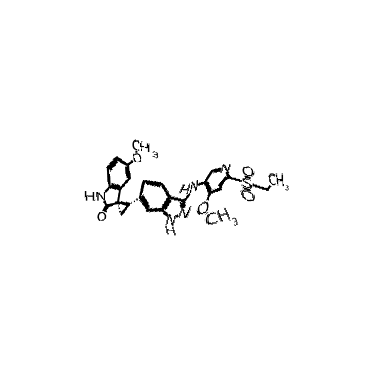 CCS(=O)(=O)c1cc(OC)c(Nc2n[nH]c3cc([C@@H]4C[C@@]45C(=O)Nc4ccc(OC)cc45)ccc23)cn1